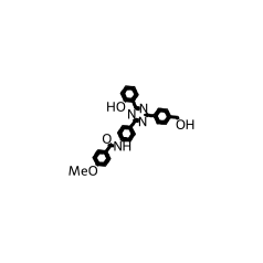 COc1ccc(C(=O)Nc2ccc(-c3nc(-c4ccc(CO)cc4)nc(-c4ccccc4O)n3)cc2)cc1